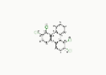 Clc1cccc(-c2[c]cccc2-c2cccc(Cl)c2Cl)c1Cl